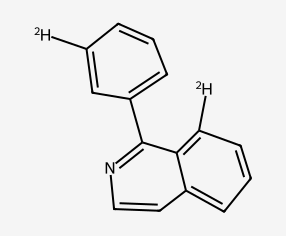 [2H]c1cccc(-c2nccc3cccc([2H])c23)c1